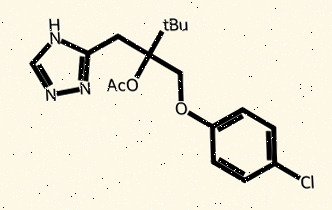 CC(=O)OC(COc1ccc(Cl)cc1)(Cc1nnc[nH]1)C(C)(C)C